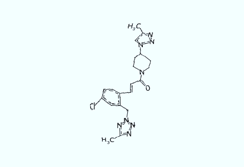 Cc1cn(C2CCN(C(=O)/C=C/c3ccc(Cl)cc3Cn3nnc(C)n3)CC2)nn1